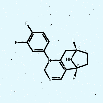 Fc1ccc(N2CN=CC3=C2C[C@@H]2CC[C@H]3N2)cc1F